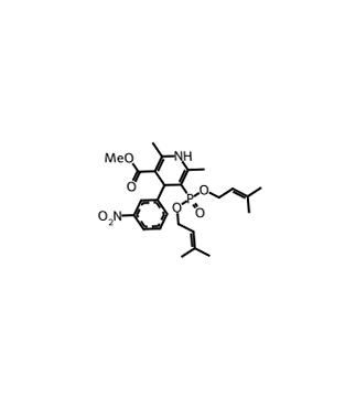 COC(=O)C1=C(C)NC(C)=C(P(=O)(OCC=C(C)C)OCC=C(C)C)C1c1cccc([N+](=O)[O-])c1